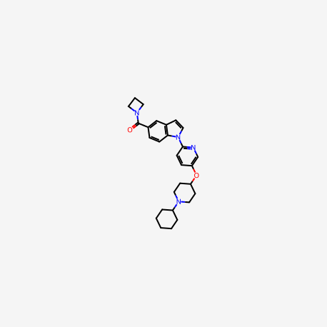 O=C(c1ccc2c(ccn2-c2ccc(OC3CCN(C4CCCCC4)CC3)cn2)c1)N1CCC1